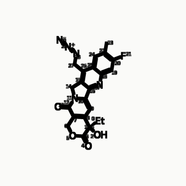 CC[C@@]1(O)C(=O)OCc2c1cc1n(c2=O)Cc2c-1nc1cc(F)c(C)cc1c2CN=[N+]=[N-]